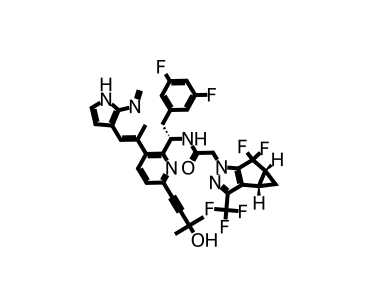 C=Nc1[nH]ccc1/C=C(\C)c1ccc(C#CC(C)(C)O)nc1[C@H](Cc1cc(F)cc(F)c1)NC(=O)Cn1nc(C(F)(F)F)c2c1C(F)(F)[C@@H]1C[C@H]21